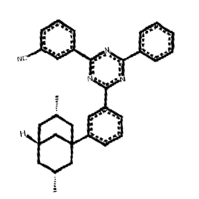 C[C@@H]1C[C@@H]2C[C@H](C)CC(c3cccc(-c4nc(-c5ccccc5)nc(-c5cccc(C#N)c5)n4)c3)(C1)C2